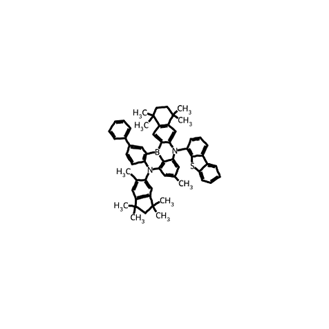 Cc1cc2c3c(c1)N(c1cccc4c1sc1ccccc14)c1cc4c(cc1B3c1cc(-c3ccccc3)ccc1N2c1cc2c(cc1C)C(C)(C)CC2(C)C)C(C)(C)CCC4(C)C